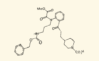 COC(=O)C(=O)N(CCCNC(=O)OCc1ccccc1)c1ccccc1C(=O)CCC1CCN(C(=O)O)CC1